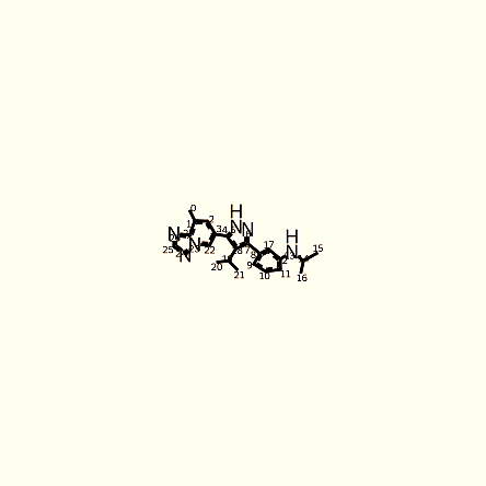 Cc1cc(-c2[nH]nc(-c3cccc(NC(C)C)c3)c2C(C)C)cn2ncnc12